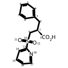 O=C(O)[C@H](Cc1ccccc1)CS(=O)(=O)c1ccccn1